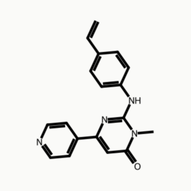 C=Cc1ccc(Nc2nc(-c3ccncc3)cc(=O)n2C)cc1